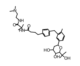 Cc1ccc(C2CC(O)[C@H](O)C(C(C)(C)O)O2)cc1Cc1ccc(CCCC(=O)NC(C)(C)C(=O)NCCN(C)C)cc1